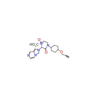 C#CCOC1CCC(N2CC[N@@+]([O-])(C(=O)O)C(N3C=C4C=NC=CN4C3)C2=O)CC1